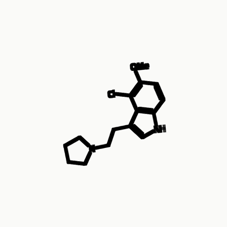 COc1ccc2[nH]cc(CCN3CCCC3)c2c1Cl